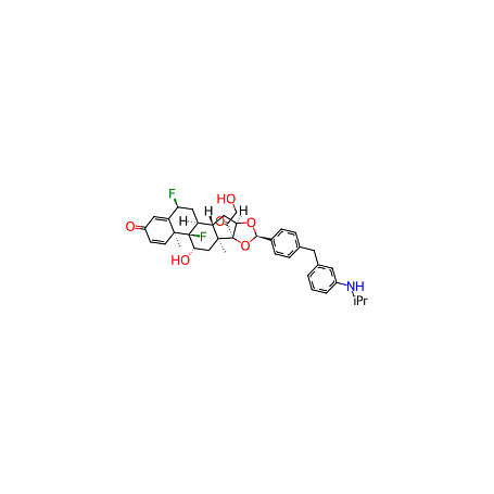 CC(C)Nc1cccc(Cc2ccc([C@@H]3O[C@@H]4C[C@H]5[C@@H]6C[C@H](F)C7=CC(=O)C=C[C@]7(C)[C@@]6(F)[C@@H](O)C[C@]5(C)[C@]4(C(=O)CO)O3)cc2)c1